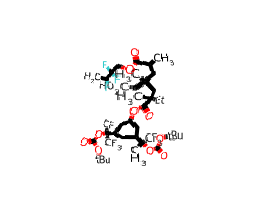 CCC(C)(CC(C)(CC(=O)O)CC(C)C(=O)OCC(F)(F)C(C)F)C(=O)OC1CC(C(C)(OC(=O)OC(C)(C)C)C(F)(F)F)CC(C(OC(=O)OC(C)(C)C)(C(F)(F)F)C(F)(F)F)C1